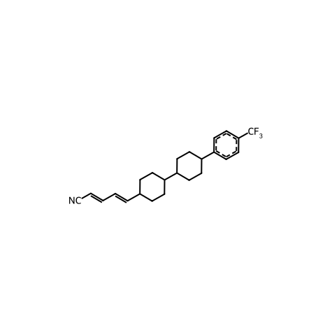 N#CC=CC=CC1CCC(C2CCC(c3ccc(C(F)(F)F)cc3)CC2)CC1